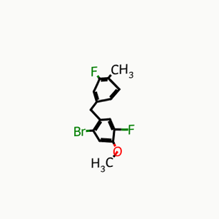 COc1cc(Br)c(Cc2ccc(C)c(F)c2)cc1F